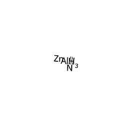 C#N.[AlH3].[Zn]